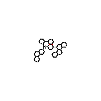 c1ccc(-c2ccccc2N(c2ccc(-c3cc4ccccc4c4ccc5ccccc5c34)cc2)c2ccc3c(ccc4ccccc43)c2)cc1